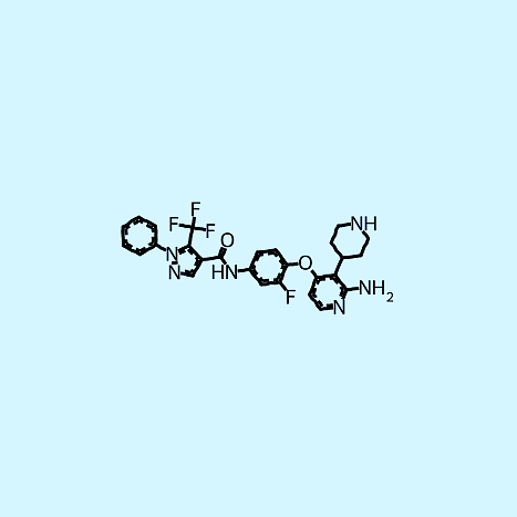 Nc1nccc(Oc2ccc(NC(=O)c3cnn(-c4ccccc4)c3C(F)(F)F)cc2F)c1C1CCNCC1